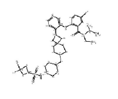 CCN(C(=O)c1cc(F)ccc1Oc1cncnc1N1CC2(CCN(C[C@@H]3CC[C@@H](NS(=O)(=O)N4CC(F)(F)C4)CO3)CC2)C1)C(C)C